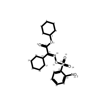 O=C(OC1CCCCC1)C(=NOS(=O)(=O)c1ccccc1[N+](=O)[O-])C1CCCCC1